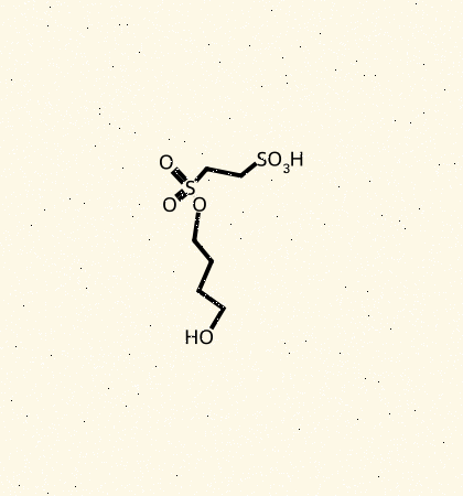 O=S(=O)(O)CCS(=O)(=O)OCCCCO